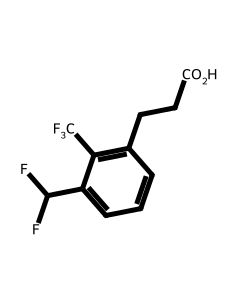 O=C(O)CCc1cccc(C(F)F)c1C(F)(F)F